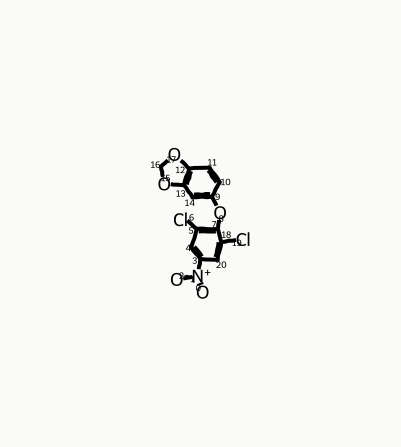 O=[N+]([O-])c1cc(Cl)c(Oc2ccc3c(c2)OCO3)c(Cl)c1